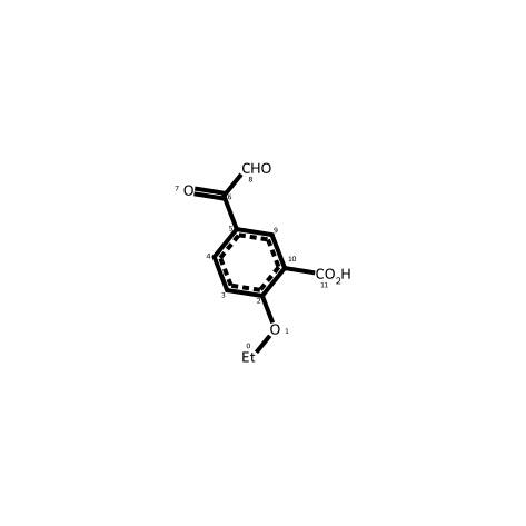 CCOc1ccc(C(=O)C=O)cc1C(=O)O